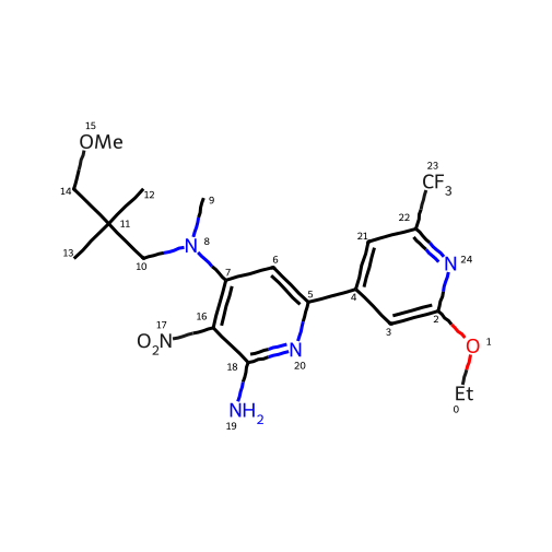 CCOc1cc(-c2cc(N(C)CC(C)(C)COC)c([N+](=O)[O-])c(N)n2)cc(C(F)(F)F)n1